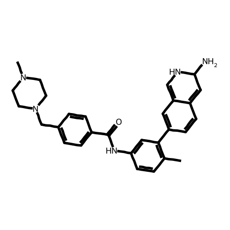 Cc1ccc(NC(=O)c2ccc(CN3CCN(C)CC3)cc2)cc1-c1ccc2c(c1)=CNC(N)C=2